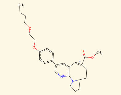 CCCCOCCOc1ccc(-c2cnc3c(c2)/C=C(/C(=O)OC)CCC2CCCN32)cc1